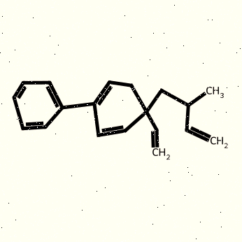 C=CC(C)CC1(C=C)C=CC(c2ccccc2)=CC1